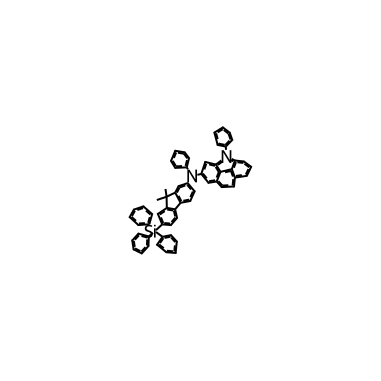 CC1(C)c2cc(N(c3ccccc3)c3cc4ccc5cccc6c5c4c(c3)n6-c3ccccc3)ccc2-c2ccc([Si](c3ccccc3)(c3ccccc3)c3ccccc3)cc21